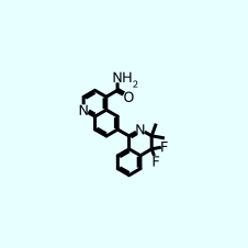 CC1(C)N=C(c2ccc3nccc(C(N)=O)c3c2)c2ccccc2C1(F)F